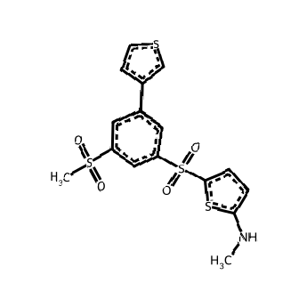 CNc1ccc(S(=O)(=O)c2cc(-c3ccsc3)cc(S(C)(=O)=O)c2)s1